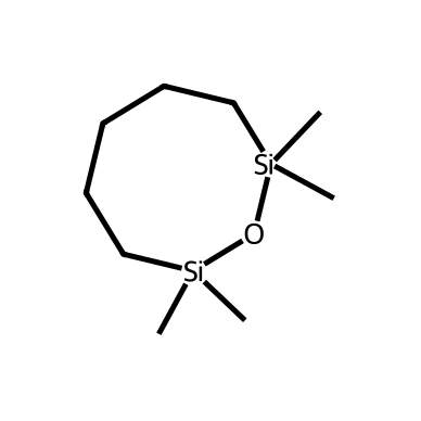 C[Si]1(C)CCCCC[Si](C)(C)O1